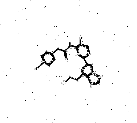 CCc1cnc(-c2cn3ncnc3c(CCC(F)(F)F)n2)nc1NC(=O)Cc1ccc(F)cc1